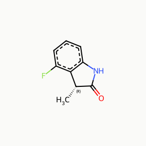 C[C@H]1C(=O)Nc2cccc(F)c21